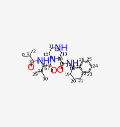 CC(C)C(=O)N[C@H](C(=O)N1CCNC[C@H]1C(=O)N[C@@H]1CCCc2ccccc21)C(C)C